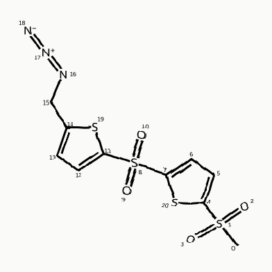 CS(=O)(=O)c1ccc(S(=O)(=O)c2ccc(CN=[N+]=[N-])s2)s1